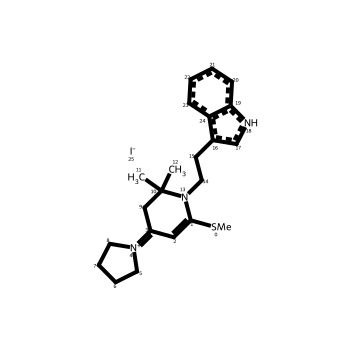 CSC1=CC(=[N+]2CCCC2)CC(C)(C)N1CCc1c[nH]c2ccccc12.[I-]